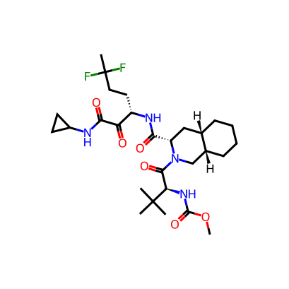 COC(=O)N[C@H](C(=O)N1C[C@H]2CCCC[C@H]2C[C@H]1C(=O)N[C@@H](CCC(C)(F)F)C(=O)C(=O)NC1CC1)C(C)(C)C